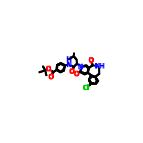 CC(C)CC(C(=O)Nc1ccc(C(=O)OC(C)(C)C)cc1)n1cc2c(cc1=O)-c1cc(Cl)ccc1CCNC2=O